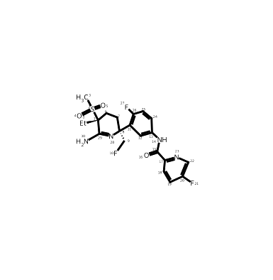 CC[C@@]1(S(C)(=O)=O)CC[C@@](CF)(c2cc(NC(=O)c3ccc(F)cn3)ccc2F)N=C1N